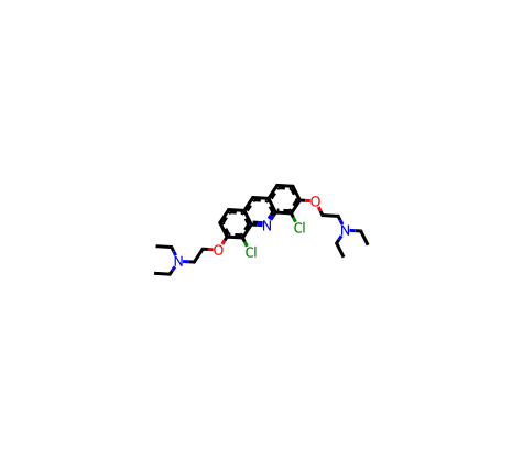 CCN(CC)CCOc1ccc2cc3ccc(OCCN(CC)CC)c(Cl)c3nc2c1Cl